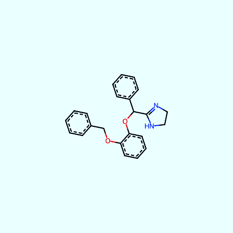 c1ccc(COc2ccccc2OC(C2=NCCN2)c2ccccc2)cc1